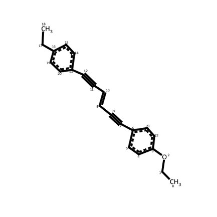 CCOc1ccc(C#C/C=C/C#Cc2ccc(CC)cc2)cc1